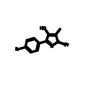 Cc1c(O)c(-c2ccc(Br)cc2)nn1C(C)C